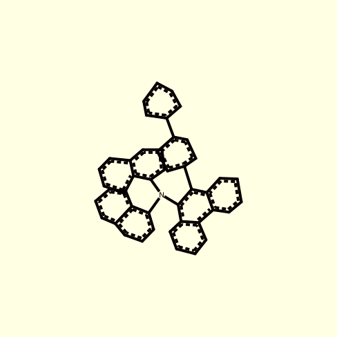 c1ccc(-c2ccc(-c3c(N(c4cccc5ccccc45)c4cccc5ccccc45)c4ccccc4c4ccccc34)cc2)cc1